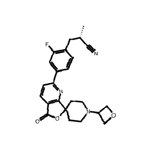 C[C@H](C#N)Cc1ccc(-c2ccc3c(n2)C2(CCN(C4COC4)CC2)OC3=O)cc1F